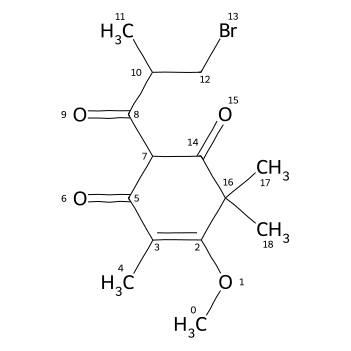 COC1=C(C)C(=O)C(C(=O)C(C)CBr)C(=O)C1(C)C